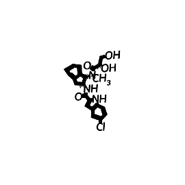 CN(C(=O)[C@H](O)CO)[C@@H]1c2ccccc2C[C@H]1NC(=O)c1cc2cc(Cl)ccc2[nH]1